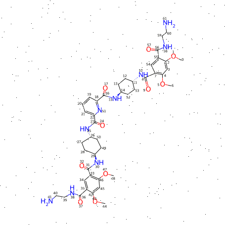 COc1cc(OC)c(C(=O)N[C@H]2CC[C@H](NC(=O)c3cccc(C(=O)N[C@H]4CC[C@H](NC(=O)c5cc(C(=O)NCCN)c(OC)cc5OC)CC4)n3)CC2)cc1C(=O)NCCN